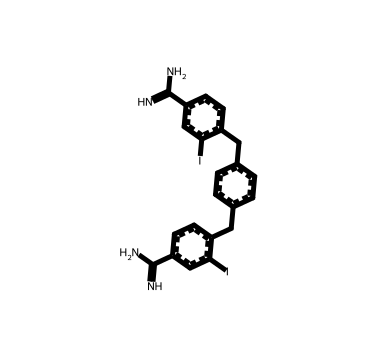 N=C(N)c1ccc(Cc2ccc(Cc3ccc(C(=N)N)cc3I)cc2)c(I)c1